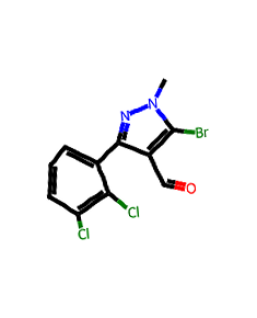 Cn1nc(-c2cccc(Cl)c2Cl)c(C=O)c1Br